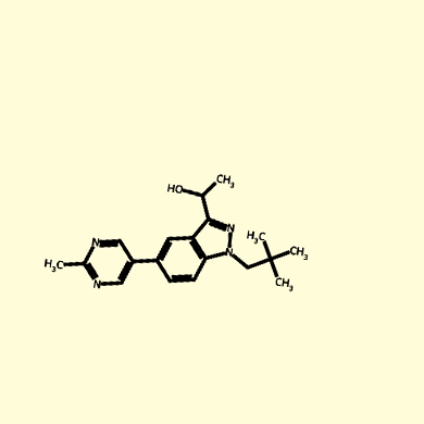 Cc1ncc(-c2ccc3c(c2)c(C(C)O)nn3CC(C)(C)C)cn1